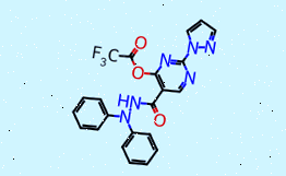 O=C(NN(c1ccccc1)c1ccccc1)c1cnc(-n2cccn2)nc1OC(=O)C(F)(F)F